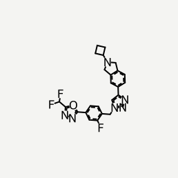 Fc1cc(-c2nnc(C(F)F)o2)ccc1Cn1cc(-c2ccc3c(c2)CN(C2CCC2)C3)nn1